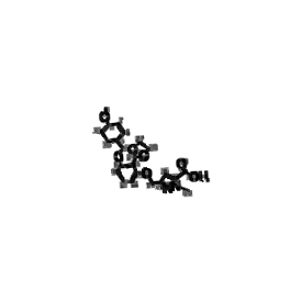 COc1ccc(COc2cccc(OCc3cc(C(=O)O)n(C)n3)c2C2OCCO2)cc1